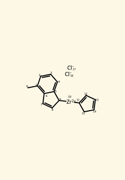 Cc1cccc2c1C=C[CH]2[Zr+2][C]1=CC=CC1.[Cl-].[Cl-]